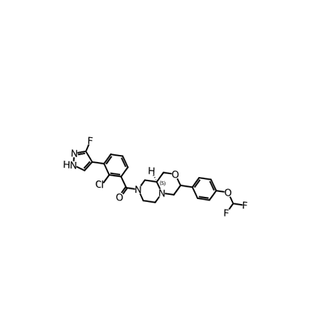 O=C(c1cccc(-c2c[nH]nc2F)c1Cl)N1CCN2CC(c3ccc(OC(F)F)cc3)OC[C@@H]2C1